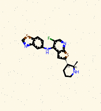 C[C@H]1NCCC[C@@H]1c1cc2c(Nc3ccc4scnc4c3)c(F)cnc2s1